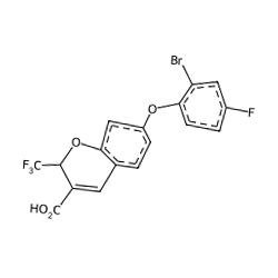 O=C(O)C1=Cc2ccc(Oc3ccc(F)cc3Br)cc2OC1C(F)(F)F